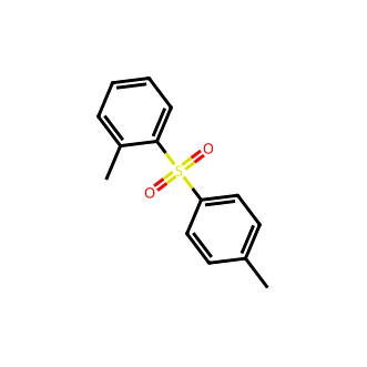 Cc1ccc(S(=O)(=O)c2ccccc2C)cc1